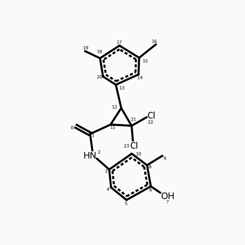 C=C(Nc1ccc(O)c(C)c1)C1C(c2cc(C)cc(C)c2)C1(Cl)Cl